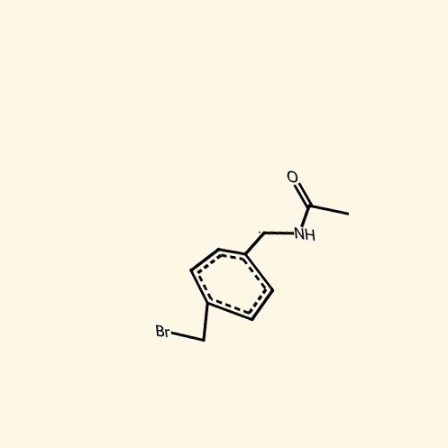 CC(=O)N[CH]c1ccc(CBr)cc1